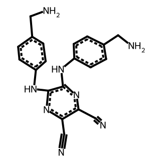 N#Cc1nc(Nc2ccc(CN)cc2)c(Nc2ccc(CN)cc2)nc1C#N